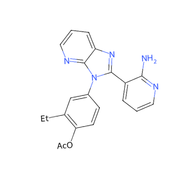 CCc1cc(-n2c(-c3cccnc3N)nc3cccnc32)ccc1OC(C)=O